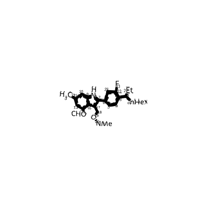 CCCCCCC(CC)c1ccc(-c2[nH]c3cc(C)cc(C=O)c3c2CONC)cc1F